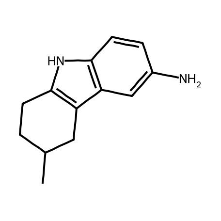 CC1CCc2[nH]c3ccc(N)cc3c2C1